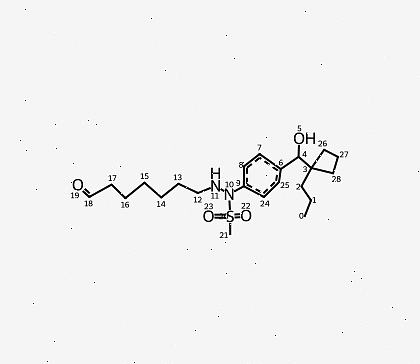 CCCC1(C(O)c2ccc(N(NCCCCCCC=O)S(C)(=O)=O)cc2)CCC1